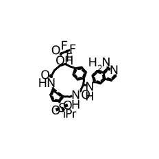 CC(C)S(=O)(=O)c1ccc2cc1CNC(=O)C(Nc1ccc3c(N)nccc3c1)c1ccc(cc1)CCCC(=O)N2.O=C(O)C(F)(F)F